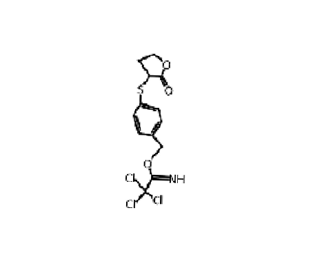 N=C(OCc1ccc(SC2CCOC2=O)cc1)C(Cl)(Cl)Cl